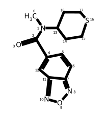 CN(C(=O)c1ccc2nonc2c1)C1CCSCC1